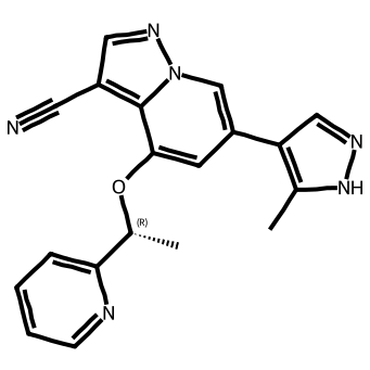 Cc1[nH]ncc1-c1cc(O[C@H](C)c2ccccn2)c2c(C#N)cnn2c1